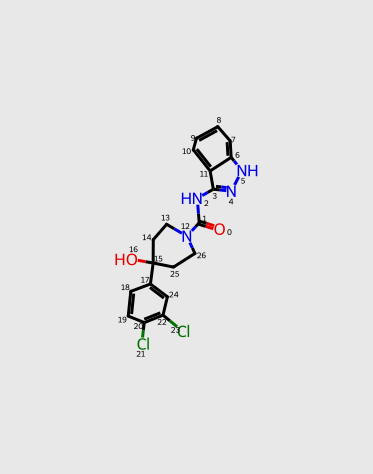 O=C(Nc1n[nH]c2ccccc12)N1CCC(O)(c2ccc(Cl)c(Cl)c2)CC1